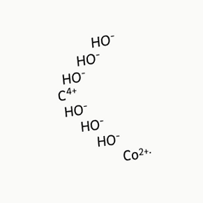 [C+4].[Co+2].[OH-].[OH-].[OH-].[OH-].[OH-].[OH-]